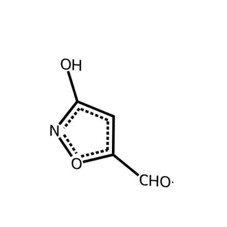 O=[C]c1cc(O)no1